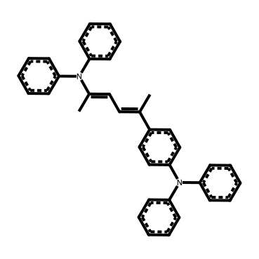 C/C(=C\C=C(/C)N(c1ccccc1)c1ccccc1)c1ccc(N(c2ccccc2)c2ccccc2)cc1